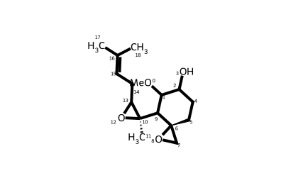 COC1C(O)CC[C@]2(CO2)C1[C@@]1(C)OC1CC=C(C)C